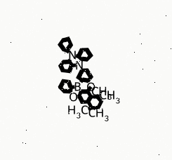 CC1(C)CCC(C)(C)c2c1cc1c3c2Oc2ccc(N4c5ccccc5N(c5ccccc5)c5ccccc54)cc2B3c2ccccc2O1